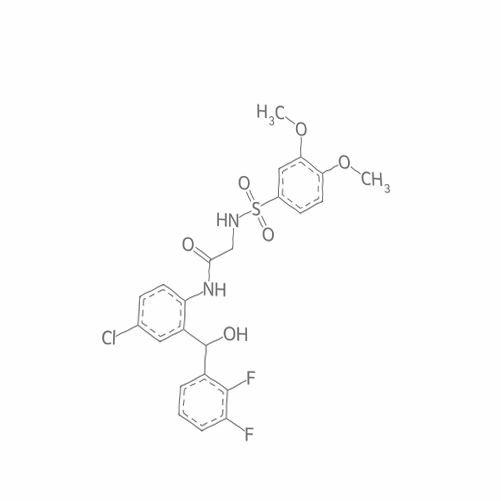 COc1ccc(S(=O)(=O)NCC(=O)Nc2ccc(Cl)cc2C(O)c2cccc(F)c2F)cc1OC